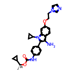 C[C@@H](OC(=O)Nc1ccc(-c2c(N)c3ccc(OCCn4ccnc4)cc3n2C2CC2)cc1)C1CC1